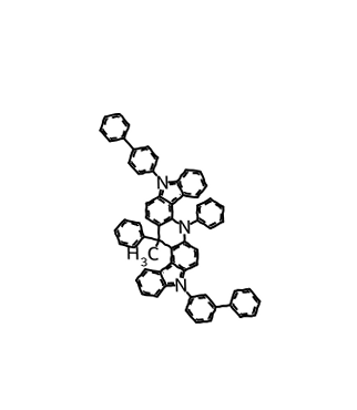 CC1(c2ccccc2)c2ccc3c(c2N(c2ccccc2)c2ccc4c(c21)c1ccccc1n4-c1cccc(-c2ccccc2)c1)c1ccccc1n3-c1ccc(-c2ccccc2)cc1